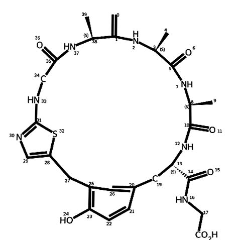 C=C1N[C@@H](C)C(=O)N[C@@H](C)C(=O)N[C@H](C(=O)NCC(=O)O)Cc2ccc(O)c(c2)Cc2cnc(s2)NCC(=O)N[C@H]1C